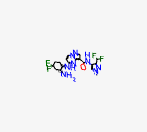 Cn1cc(NC(=O)c2cnn3ccc(N[C@@H]4CCC(F)(F)C[C@@H]4N)nc23)c(C(F)F)n1